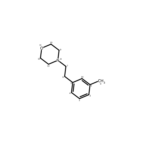 Cc1cccc(CCN2CCOCC2)c1